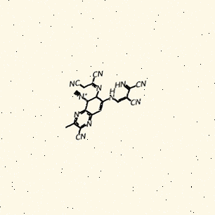 C#[N+]C1c2nc(C)c(C#N)nc2C=C(NC=C(C#N)C(=N)C#N)C1/N=C(/C#N)CC#N